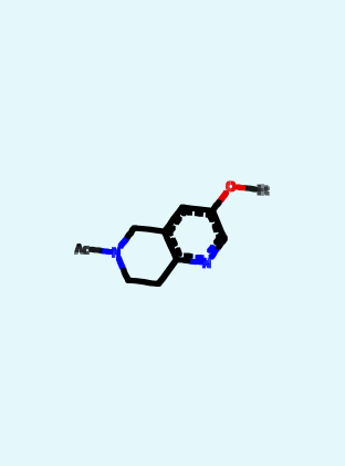 CCOc1cnc2c(c1)CN(C(C)=O)CC2